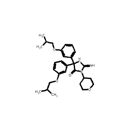 CC(C)COc1cccc(C2(c3cccc(OCC(C)C)c3)NC(=N)N(C3CCOCC3)C2=O)c1